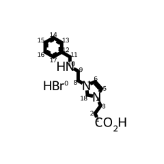 Br.O=C(O)CCN1C=CN(CCNCc2ccccc2)C1